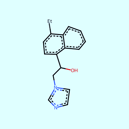 CCc1ccc(C(O)Cn2ccnc2)c2ccccc12